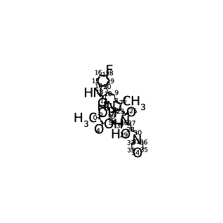 CC(O)C(=O)O.Cc1c(C=C2C(=O)Nc3ccc(F)cc32)[nH]c2c1C(=O)N(C[C@H](O)CN1CCOCC1)CCC2